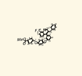 COC(=O)c1ccc(COc2ccc(Oc3cccc(-c4c(Cc5ccccc5)cnc5c(C(F)(F)F)cccc45)c3)cc2)cc1